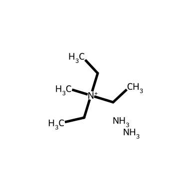 CC[N+](C)(CC)CC.N.N